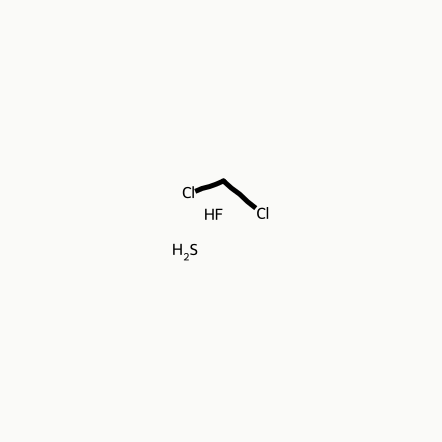 ClCCl.F.S